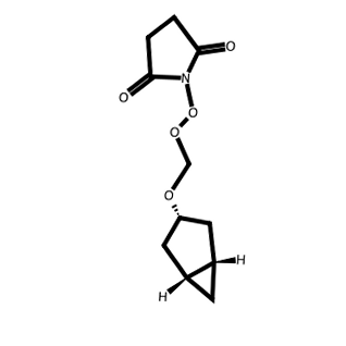 O=C1CCC(=O)N1OOCO[C@@H]1C[C@@H]2C[C@@H]2C1